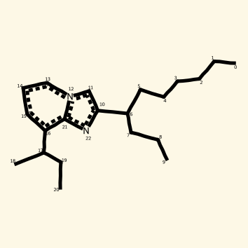 CCCCCCC(CCC)c1cn2cccc(C(C)CC)c2n1